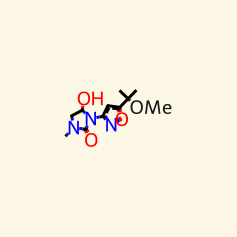 COC(C)(C)c1cc(N2C(=O)N(C)CC2O)no1